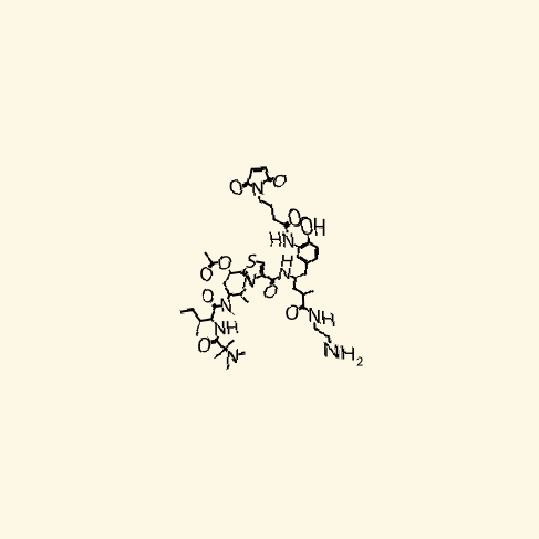 CC[C@H](C)[C@H](NC(=O)C(C)(C)N(C)C)C(=O)N(C)C(C[C@@H](OC(C)=O)c1nc(C(=O)N[C@@H](Cc2ccc(O)c(NC(=O)CCCN3C(=O)C=CC3=O)c2)CC(C)C(=O)NCCN)cs1)C(C)C